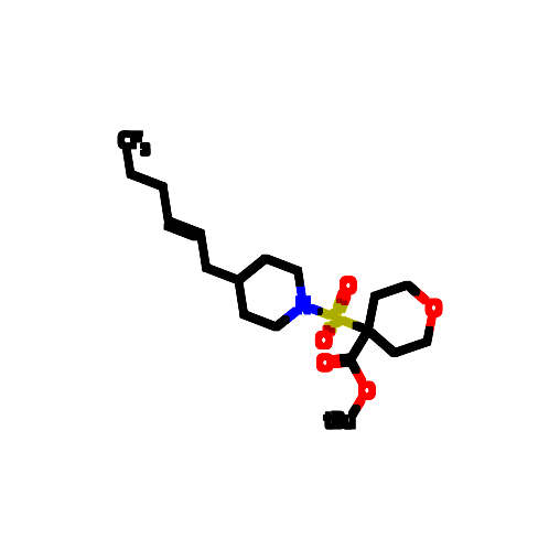 CC(C)(C)OC(=O)C1(S(=O)(=O)N2CCC(CC=CCCC(F)(F)F)CC2)CCOCC1